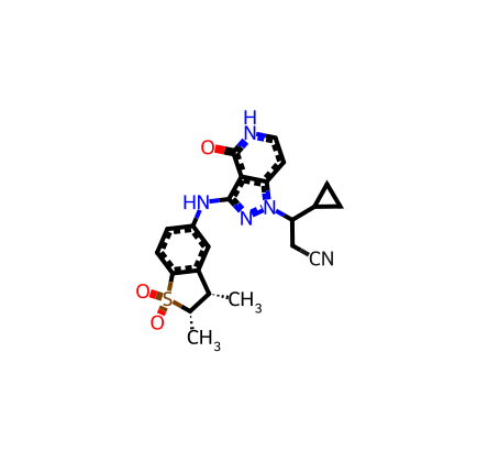 C[C@H]1c2cc(Nc3nn(C(CC#N)C4CC4)c4cc[nH]c(=O)c34)ccc2S(=O)(=O)[C@H]1C